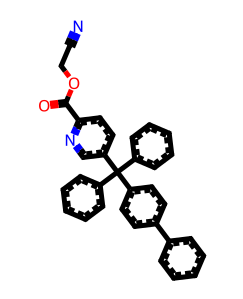 N#CCOC(=O)c1ccc(C(c2ccccc2)(c2ccccc2)c2ccc(-c3ccccc3)cc2)cn1